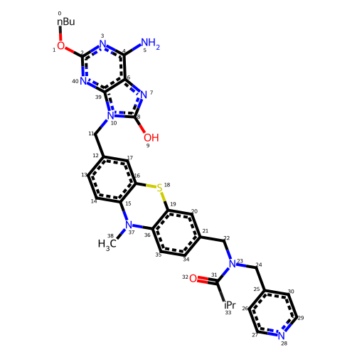 CCCCOc1nc(N)c2nc(O)n(Cc3ccc4c(c3)Sc3cc(CN(Cc5ccncc5)C(=O)C(C)C)ccc3N4C)c2n1